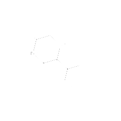 CCOC(=O)C(C(=O)O)C1CNCCO1